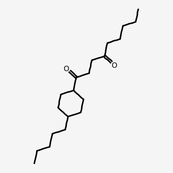 CCCCCC(=O)CCC(=O)C1CCC(CCCCC)CC1